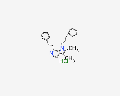 Cc1c(C)n(C/C=C/c2ccccc2)c2c(CCc3ccccc3)nccc12.Cl